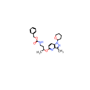 Cc1nn(C2CCCCO2)c2ccc(OC(C)CCNC(=O)OCc3ccccc3)nc12